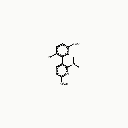 COc1ccc(C(C)C)c(-c2ccc(OC)nc2N(C)C)n1